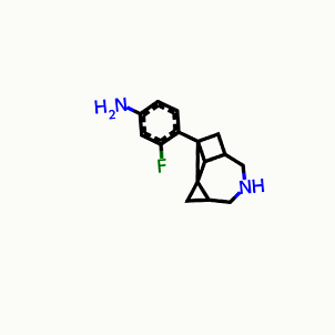 Nc1ccc(C23CC4CNCC5CC52C43)c(F)c1